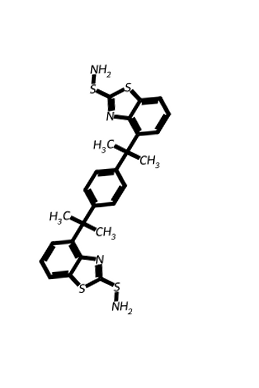 CC(C)(c1ccc(C(C)(C)c2cccc3sc(SN)nc23)cc1)c1cccc2sc(SN)nc12